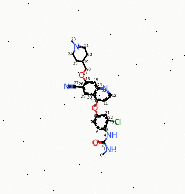 CNC(=O)Nc1ccc(Oc2ccnc3cc(OCC4CCN(C)CC4)c(C#N)cc23)cc1Cl